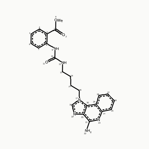 COC(=O)c1ccccc1NC(=O)NCCCCn1cnc2c(N)nc3ccccc3c21